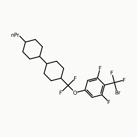 CCCC1CCC(C2CCC(C(F)(F)Oc3cc(F)c(C(F)(F)Br)c(F)c3)CC2)CC1